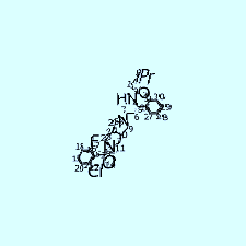 CC(C)CC(=O)N[C@@H](CCN1CC2CN(C(=O)c3c(F)cccc3Cl)CC2C1)c1ccccc1